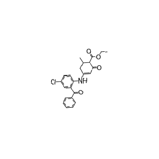 CCOC(=O)C1C(=O)C=C(Nc2ccc(Cl)cc2C(=O)c2ccccc2)CC1C